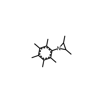 Cc1c(C)c(C)c(N2C(C)C2C)c(C)c1C